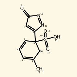 CC1=CC=CC(C2=CC(=O)N=N2)(S(=O)(=O)O)C1